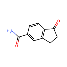 NC(=O)c1ccc2c(c1)CCC2=O